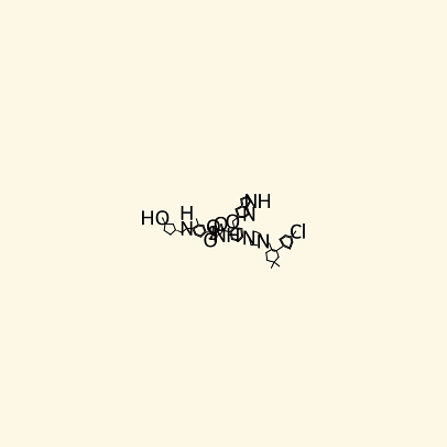 Cc1cc(S(=O)(=O)NC(=O)c2ccc(N3CCN(CC4=C(c5ccc(Cl)cc5)CC(C)(C)CC4)CC3)cc2Oc2cnc3[nH]ccc3c2)ccc1NC[C@H]1CC[C@@H](O)C1